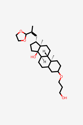 C/C(=C/[C@H]1CC[C@@]2(O)[C@@H]3CCC4CC(OCCCO)CC[C@]4(C)[C@H]3CC[C@]12C)C1OCCO1